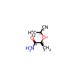 C=C(OC(C)C#N)C(N)=O